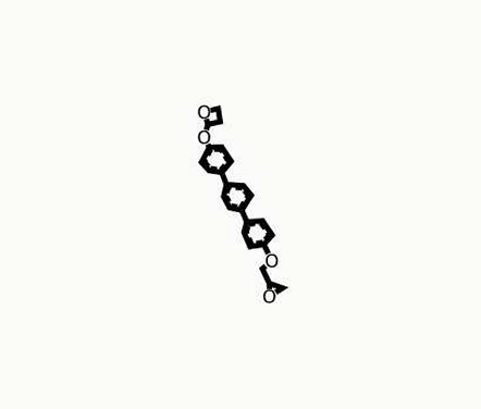 c1cc(-c2ccc(-c3ccc(OC4CCO4)cc3)cc2)ccc1OCC1CO1